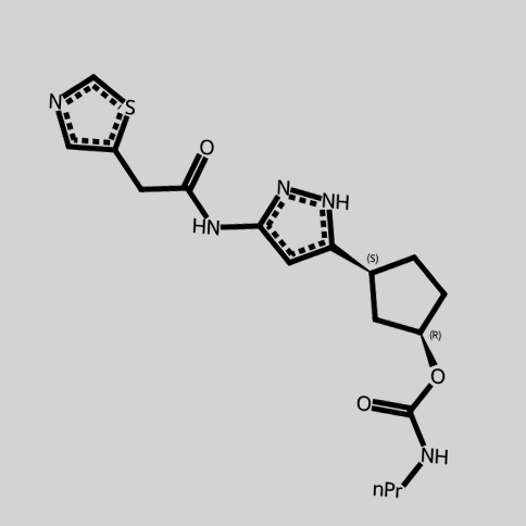 CCCNC(=O)O[C@@H]1CC[C@H](c2cc(NC(=O)Cc3cncs3)n[nH]2)C1